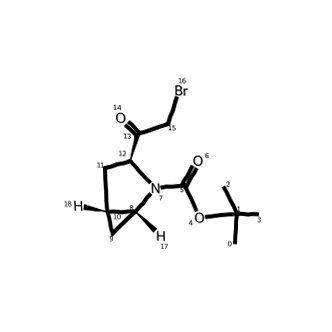 CC(C)(C)OC(=O)N1[C@@H]2C[C@@H]2C[C@H]1C(=O)CBr